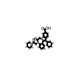 O=C(O)c1ccc2c(C3CCCCC3)c3n(c2c1)CC(=O)N(CC(=O)N1CCCCC1)c1ccccc1-3